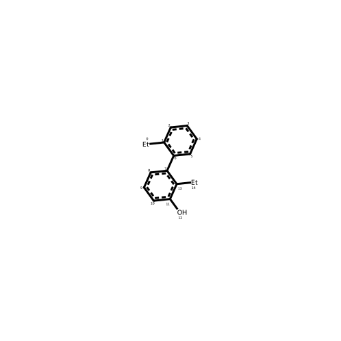 CCc1ccccc1-c1cccc(O)c1CC